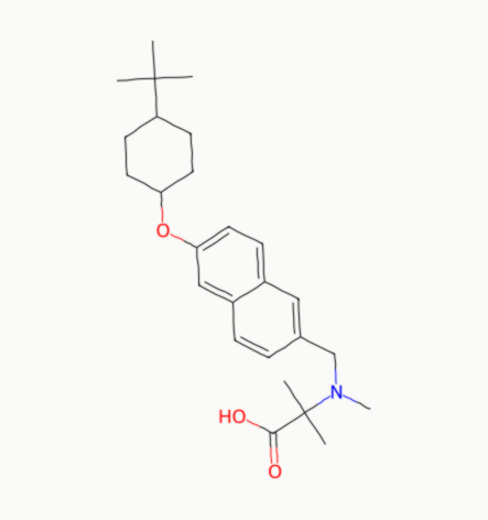 CN(Cc1ccc2cc(OC3CCC(C(C)(C)C)CC3)ccc2c1)C(C)(C)C(=O)O